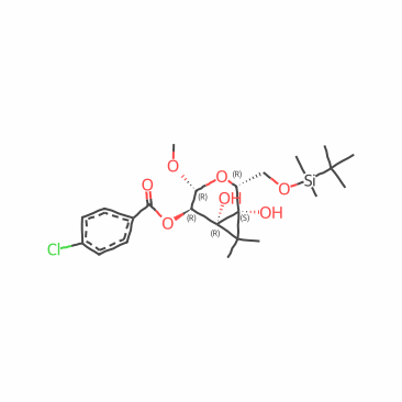 CO[C@@H]1O[C@H](CO[Si](C)(C)C(C)(C)C)[C@@]2(O)C(C)(C)[C@@]2(O)[C@H]1OC(=O)c1ccc(Cl)cc1